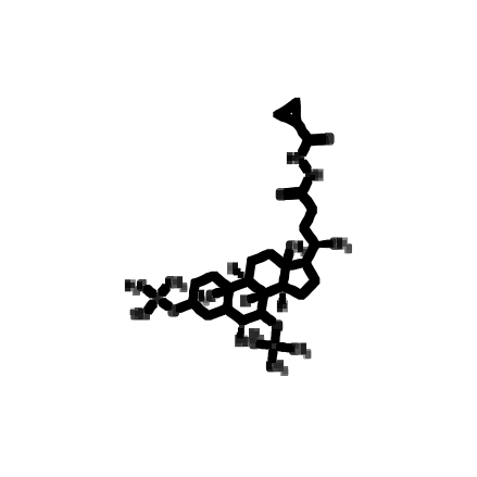 CC[C@H]1C(O[Si](C)(C)C)[C@@H]2[C@H](CCC3(C)C([C@H](C)CCC(=O)NNC(=O)C4CC4)CC[C@@H]23)C2(C)CCC(O[Si](C)(C)C(C)(C)C)CC12